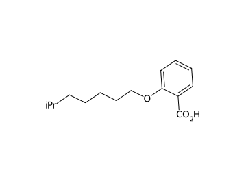 CC(C)CCCCCOc1ccccc1C(=O)O